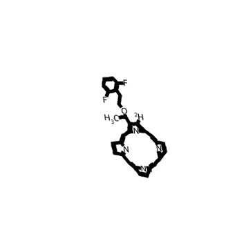 [2H]c1c(C(C)OCCc2c(F)cccc2F)c2cc3nc(cc4ccc(cc5nc(cc1[nH]2)C=C5)[nH]4)C=C3